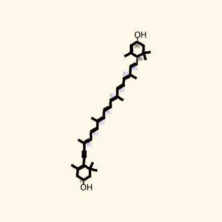 CC1=C[C@H](O)CC(C)(C)[C@H]1/C=C/C(C)=C/C=C/C(C)=C/C=C/C=C(C)/C=C/C=C(\C)C#CC1=C(C)C[C@@H](O)CC1(C)C